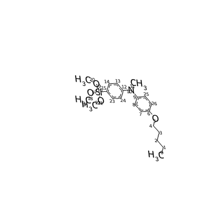 CCCCCOc1ccc(N(C)c2ccc([Si](OC)(OC)OC)cc2)cc1